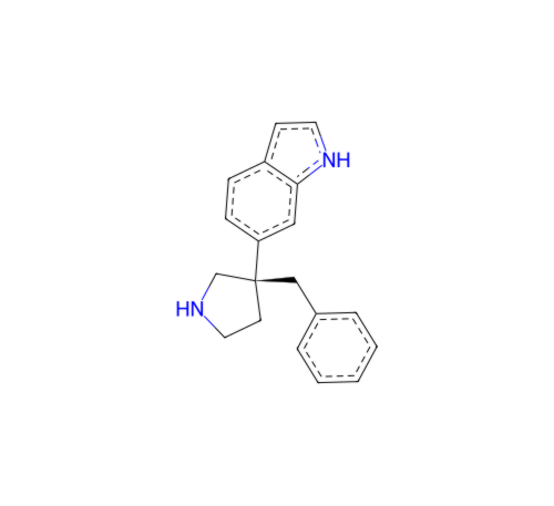 c1ccc(C[C@@]2(c3ccc4cc[nH]c4c3)CCNC2)cc1